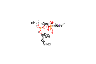 CCCCCCCCCCOP(OCCCCCC)OCCCCCCCCCC.CCCCCC[PH](O)(O)O.CCCCC[CH2][Cu][CH2]CCCCC.[Cu].[I].[I]